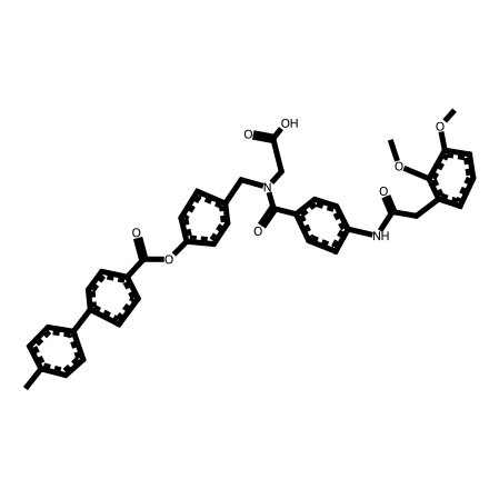 COc1cccc(CC(=O)Nc2ccc(C(=O)N(CC(=O)O)Cc3ccc(OC(=O)c4ccc(-c5ccc(C)cc5)cc4)cc3)cc2)c1OC